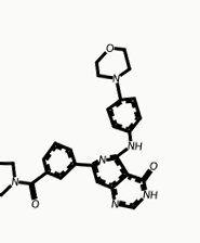 CCN(CC)C(=O)c1cccc(-c2cc3nc[nH]c(=O)c3c(Nc3ccc(N4CCOCC4)cc3)n2)c1